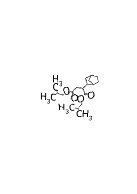 CC(C)COC(=O)CC(C(=O)OCC(C)C)C1CC2CCC1C2